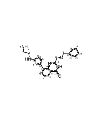 NCCNc1nc(-c2nccc3c(=O)[nH]c(COCc4ccccc4)nc23)cs1